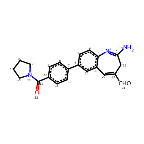 NC1=Nc2ccc(-c3ccc(C(=O)N4CCCC4)cc3)cc2C=C(C=O)C1